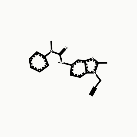 C#CC[n+]1c(C)sc2cc(NC(=S)N(C)c3ccccc3)ccc21